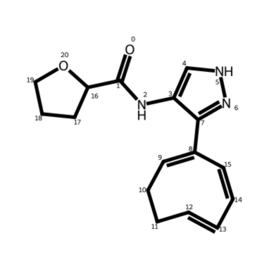 O=C(Nc1c[nH]nc1C1=C/CC/C=C/C=C\1)C1CCCO1